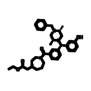 CCOC(=O)CN1CCCN(C(=O)c2cccc([C@H](c3cccc(O)c3)N3C[C@@H](C)N(Cc4ccccc4)C[C@@H]3C)c2)CC1